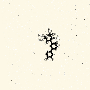 CC1=C(c2cc(-c3ccc(Cl)c(F)c3)ccc2C)C(=O)C(C)(C)SC1(C)C